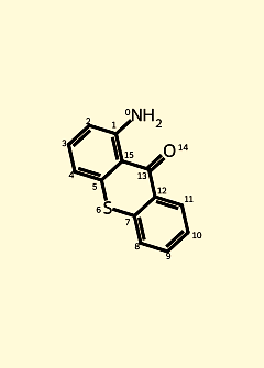 Nc1cccc2sc3ccccc3c(=O)c12